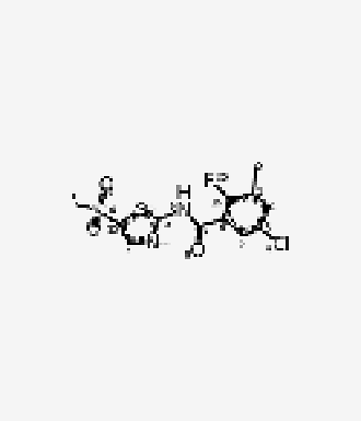 Cc1cc(Cl)cc(C(=O)Nc2ncc(S(C)(=O)=O)s2)c1F